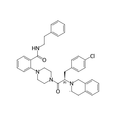 O=C(NCCc1ccccc1)c1ccccc1N1CCN(C(=O)[C@@H](Cc2ccc(Cl)cc2)N2[CH]Cc3ccccc3C2)CC1